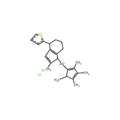 CC1=CC2=C(CCCC2c2cccs2)[CH]1[Zr+2][C]1=C(C)C(C)=C(C)C1C.[Cl-].[Cl-]